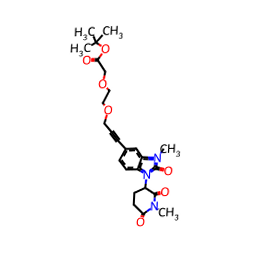 CN1C(=O)CCC(n2c(=O)n(C)c3cc(C#CCOCCOCC(=O)OC(C)(C)C)ccc32)C1=O